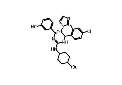 CC(C)(C)C1CCC(N/C(=N/C(=O)c2cccc(C#N)c2)NC(Cn2ccnc2)c2ccc(Cl)cc2Cl)CC1